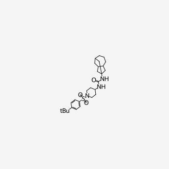 CC(C)(C)c1ccc(S(=O)(=O)N2CCC(NC(=O)NC34CC5CCCC(C3)C(C5)C4)CC2)cc1